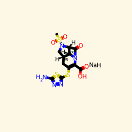 CS(=O)(=O)N1C[C@H]2CC(Sc3nnc(N)s3)=C(C(=O)O)N3C(=O)[C@@H]1[C@@H]23.[NaH]